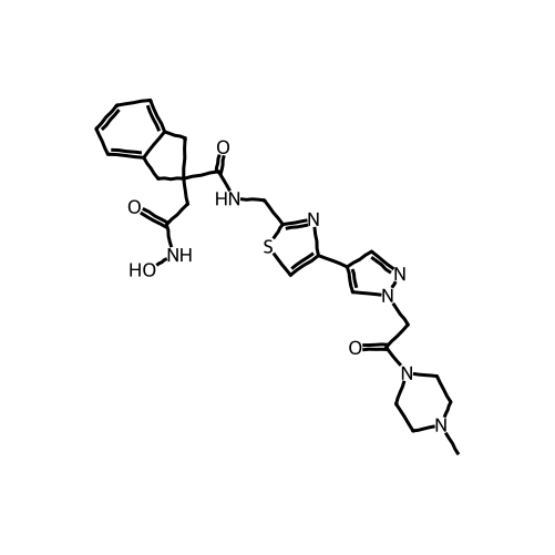 CN1CCN(C(=O)Cn2cc(-c3csc(CNC(=O)C4(CC(=O)NO)Cc5ccccc5C4)n3)cn2)CC1